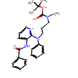 CN(CCCN(c1ccccc1)c1ncccc1NC(=O)c1ccccc1)C(=O)OC(C)(C)C